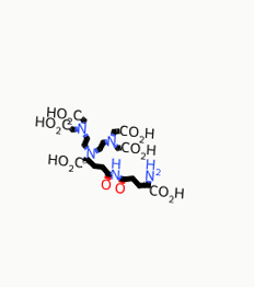 N[C@@H](CCC(=O)NC(=O)CC[C@@H](C(=O)O)N(CCN(CC(=O)O)CC(=O)O)CCN(CC(=O)O)CC(=O)O)C(=O)O